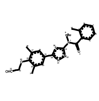 CCCCN(C(=O)c1ccccc1C)c1nnc(-c2cc(C)c(OCC=O)c(C)c2)s1